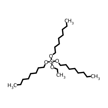 CCCCCCCCO[Si](OCC)(OCCCCCCCC)OCCCCCCCC